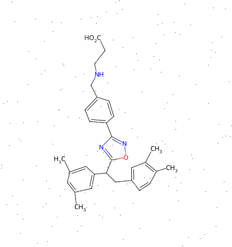 Cc1cc(C)cc(C(Cc2ccc(C)c(C)c2)c2nc(-c3ccc(CNCCC(=O)O)cc3)no2)c1